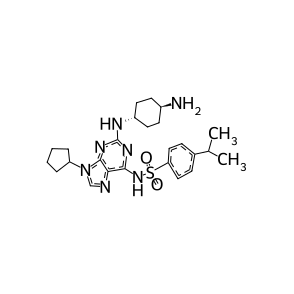 CC(C)c1ccc(S(=O)(=O)Nc2nc(N[C@H]3CC[C@H](N)CC3)nc3c2ncn3C2CCCC2)cc1